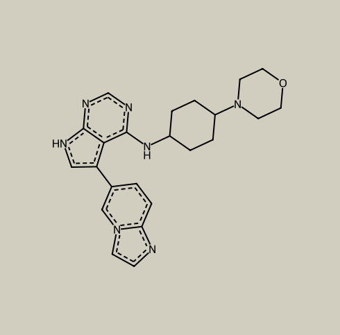 c1nc(NC2CCC(N3CCOCC3)CC2)c2c(-c3ccc4nccn4c3)c[nH]c2n1